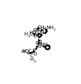 CC(=O)OC1[C@@H](COP(=O)(NCc2ccccc2)OCCSC(=O)C(C)(C)CO)C[C@@H](n2ccc(N)nc2=O)C1(C)OC(C)=O